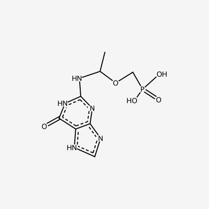 CC(Nc1nc2nc[nH]c2c(=O)[nH]1)OCP(=O)(O)O